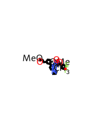 COC(=O)CCc1ccc(OC)c(-c2ccc(N3CCC3)nc2CN2C(=O)O[C@H](c3ccc(F)c(F)c3)[C@@H]2C)c1